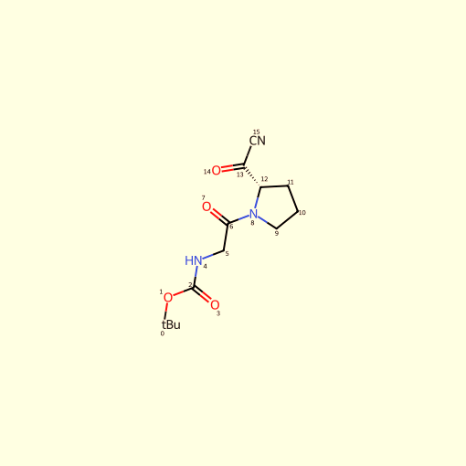 CC(C)(C)OC(=O)NCC(=O)N1CCC[C@H]1C(=O)C#N